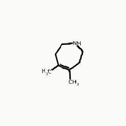 CC1=C(C)CCNCC1